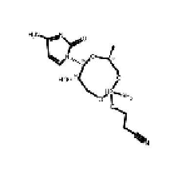 B[PH]1(OCCC#N)OC[C@H](C)O[C@@H](n2ccc(N)nc2=O)[C@@H](O)CO1